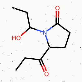 CCC(=O)C1CCC(=O)N1C(O)CC